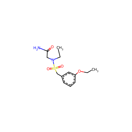 CCOc1cccc(CS(=O)(=O)N(CC)CC(N)=O)c1